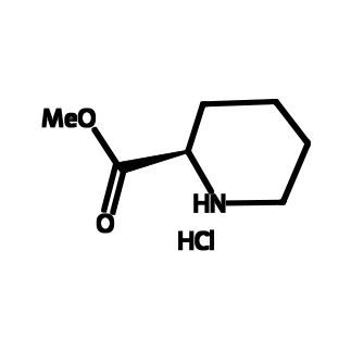 COC(=O)[C@H]1CCCCN1.Cl